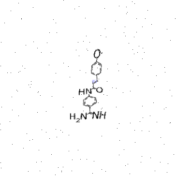 N=C(N)c1ccc(NC(=O)/C=C/c2ccc([O])cc2)cc1